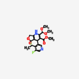 COC(=O)C1=C(C(OC)OC)NC2=C(C(=O)OC2)C1c1cncc(F)c1C(C)F